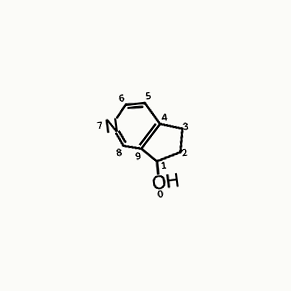 OC1CCc2ccncc21